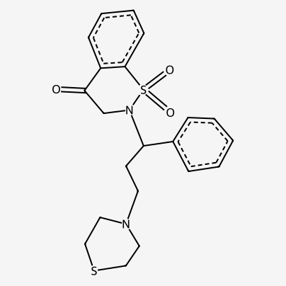 O=C1CN(C(CCN2CCSCC2)c2ccccc2)S(=O)(=O)c2ccccc21